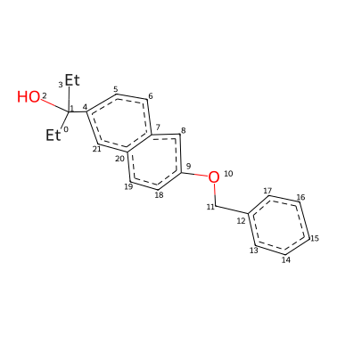 CCC(O)(CC)c1ccc2cc(OCc3ccccc3)ccc2c1